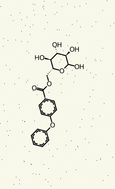 O=C(OC[C@H]1OC(O)[C@H](O)[C@@H](O)[C@@H]1O)c1ccc(Oc2ccccc2)cc1